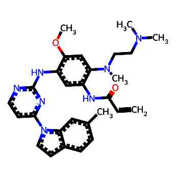 C=CC(=O)Nc1cc(Nc2nccc(-n3ccc4ccc(C)cc43)n2)c(OC)cc1N(C)CCN(C)C